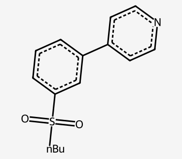 CCCCS(=O)(=O)c1cccc(-c2ccncc2)c1